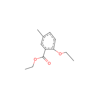 CCOC(=O)c1cc(C)ccc1OCC